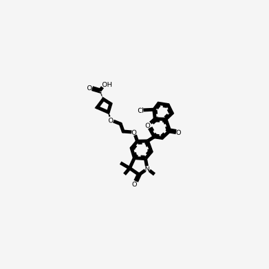 CN1C(=O)C(C)(C)c2cc(OCCO[C@H]3C[C@@H](C(=O)O)C3)c(-c3cc(=O)c4cccc(Cl)c4o3)cc21